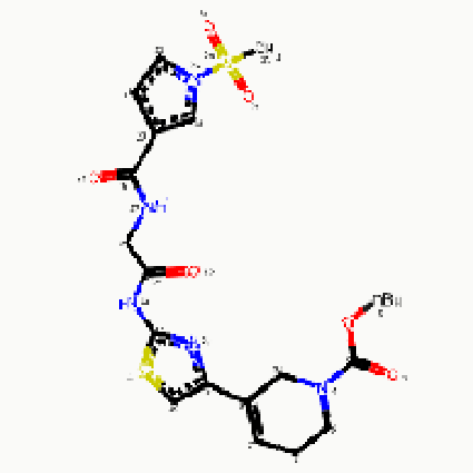 CCCCOC(=O)N1CCC=C(c2csc(NC(=O)CNC(=O)c3ccn(S(C)(=O)=O)c3)n2)C1